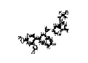 COc1ncc(-c2cc([C@H]3C[C@@H]3c3cnc4c(F)nn(CC(F)(F)F)c4c3)c3nccn3n2)c(OC)n1